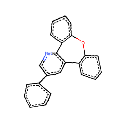 c1ccc(-c2cnc3c(c2)-c2ccccc2Oc2ccccc2-3)cc1